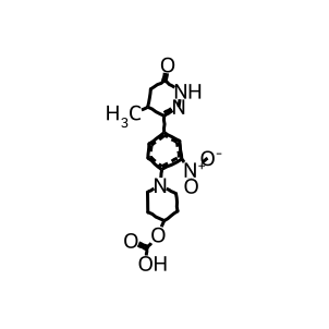 CC1CC(=O)NN=C1c1ccc(N2CCC(OC(=O)O)CC2)c([N+](=O)[O-])c1